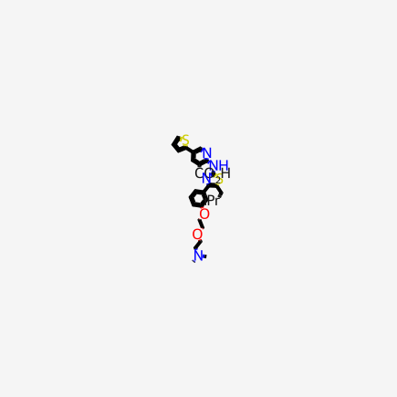 CC(C)Cc1sc(Nc2ncc(-c3cccs3)cc2C(=O)O)nc1-c1cccc(OCCOCCN(C)C)c1